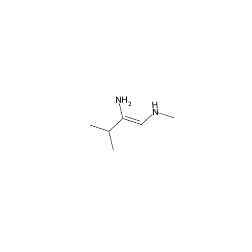 CN/C=C(\N)C(C)C